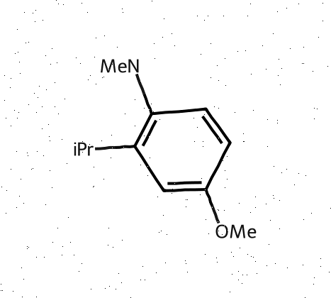 CNc1ccc(OC)cc1C(C)C